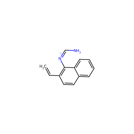 C=Cc1ccc2ccccc2c1/N=C\N